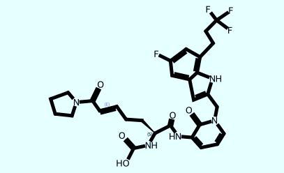 O=C(O)N[C@@H](CC/C=C/C(=O)N1CCCC1)C(=O)Nc1cccn(Cc2cc3cc(F)cc(CCC(F)(F)F)c3[nH]2)c1=O